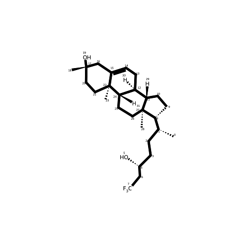 C[C@H](CC[C@@H](O)CC(F)(F)F)[C@H]1CC[C@H]2[C@@H]3CC=C4C[C@@](C)(O)CC[C@]4(C)[C@H]3CC[C@]12C